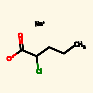 CCCC(Cl)C(=O)[O-].[Na+]